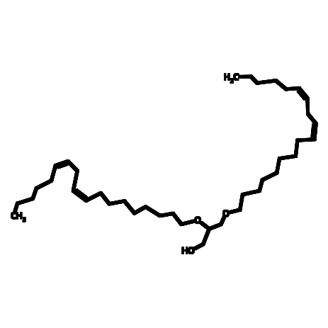 CCCCC/C=C\C/C=C\CCCCCCCCOCC(CO)OCCCCCCCC/C=C\C/C=C\CCCCC